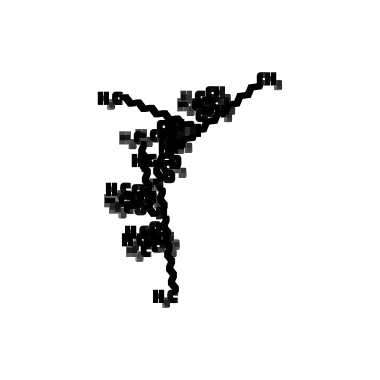 CCCCCCCCCCC(CN(CCCNC(=O)CC(C)(C)CC(=O)NCCCN(CC(CCCCCCCCCC)O[Si](C)(C)C(C)(C)C)CC(CCCCCCCCCC)O[Si](C)(C)C(C)(C)C)CC(CCCCCCCCCC)O[Si](C)(C)C(C)(C)C)O[Si](C)(C)C(C)(C)C